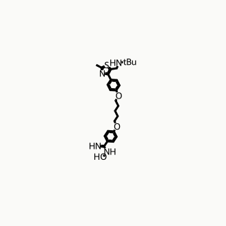 Cc1nc(-c2ccc(OCCCCCOc3ccc(C(=N)NO)cc3)cc2)c(CNC(C)(C)C)s1